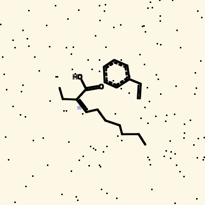 C=Cc1ccccc1.CCCCCC/C=C(/CC)C(=O)O